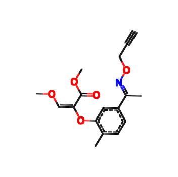 C#CCON=C(C)c1ccc(C)c(OC(=COC)C(=O)OC)c1